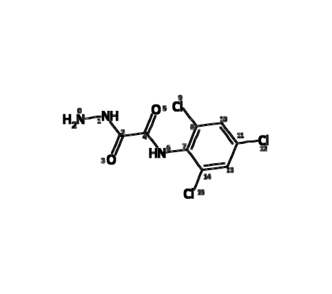 NNC(=O)C(=O)Nc1c(Cl)cc(Cl)cc1Cl